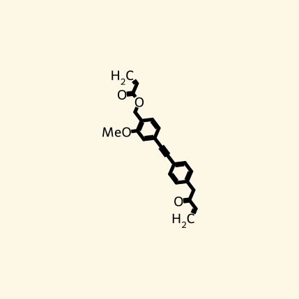 C=CC(=O)Cc1ccc(C#Cc2ccc(COC(=O)C=C)c(OC)c2)cc1